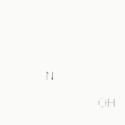 CC(C)(C)N1CC1O